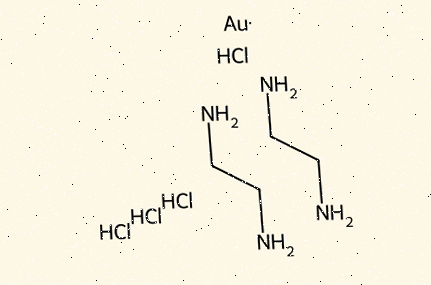 Cl.Cl.Cl.Cl.NCCN.NCCN.[Au]